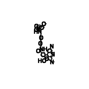 COc1ccc(NCCOCCOCCNC(=O)c2ccc(C(=O)O)c(C3=C4C=CC(N(C)C)C=C4[Si](C)(C)c4cc(N(C)C)ccc43)c2)c([N+](=O)[O-])c1